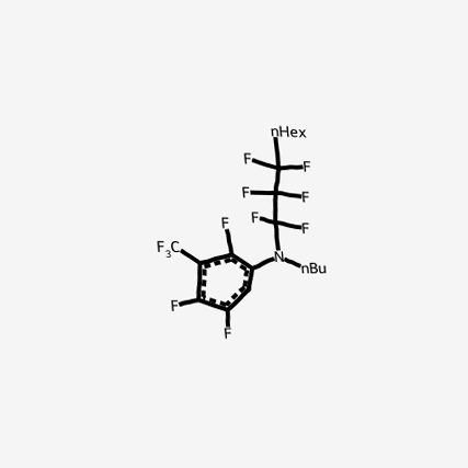 CCCCCCC(F)(F)C(F)(F)C(F)(F)N(CCCC)c1cc(F)c(F)c(C(F)(F)F)c1F